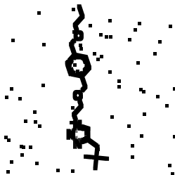 CCCOCc1ccc(COCCn2cc(CC(C)(C)C)nn2)cc1